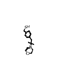 CC(C)(Cc1ccc(CS)cc1)N1CCOCC1